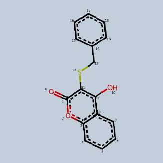 O=c1oc2ccccc2c(O)c1SCc1ccccc1